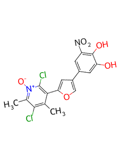 Cc1c(Cl)c(C)[n+]([O-])c(Cl)c1-c1cc(-c2cc(O)c(O)c([N+](=O)[O-])c2)co1